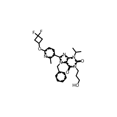 Cc1nc(OC2CC(F)(F)C2)ccc1-c1nc2c(c(=O)n(CCCO)c(=O)n2C(C)C)n1Cc1ccccc1